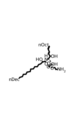 CCCCCCCC/C=C/C=C/[C@@H](O)[C@H](COP(=O)(O)OCCN)NC(=O)C(O)CCCCCCCCCCCCCCCCCCCCCC